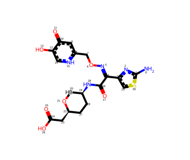 Nc1nc(/C(=N/OCc2cc(=O)c(O)c[nH]2)C(=O)N[C@@H]2BO[C@H](CC(=O)O)CC2)cs1